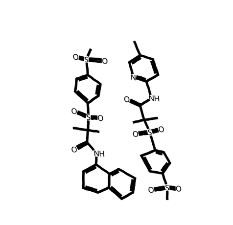 CC(C)(C(=O)Nc1cccc2ccccc12)S(=O)(=O)c1ccc(S(C)(=O)=O)cc1.Cc1ccc(NC(=O)C(C)(C)S(=O)(=O)c2ccc(S(C)(=O)=O)cc2)nc1